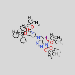 CC(C)(C)OC(=O)N(C(=O)OC(C)(C)C)c1ncnc2c1c(I)cn2C1CC(CO[Si](c2ccccc2)(c2ccccc2)C(C)(C)C)N(C(=O)OC(C)(C)C)C1